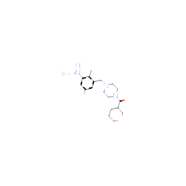 Cc1c(CN2CCN(C(=O)C3CCCOC3)[C@@H](C)C2)cc(Cl)cc1NC=O